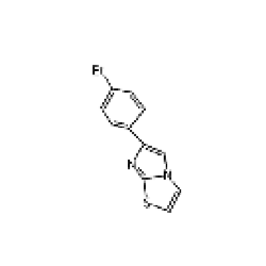 CCc1ccc(-c2cn3ccsc3n2)cc1